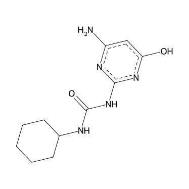 Nc1cc(O)nc(NC(=O)NC2CCCCC2)n1